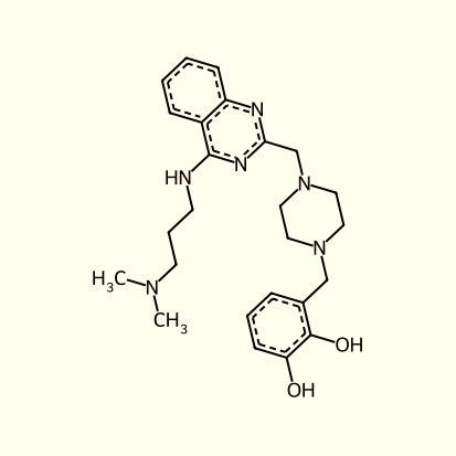 CN(C)CCCNc1nc(CN2CCN(Cc3cccc(O)c3O)CC2)nc2ccccc12